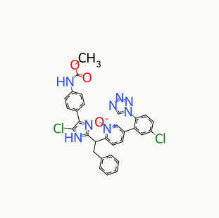 COC(=O)Nc1ccc(-c2nc(C(Cc3ccccc3)c3ccc(-c4cc(Cl)ccc4-n4cnnn4)c[n+]3[O-])[nH]c2Cl)cc1